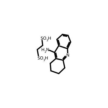 Nc1c2c(nc3ccccc13)CCCC2.O=S(=O)(O)CCS(=O)(=O)O